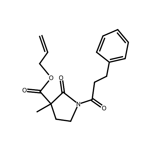 C=CCOC(=O)C1(C)CCN(C(=O)CCc2ccccc2)C1=O